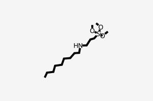 CCCCCCCCCNCCC[Si](OC)(OC)OC